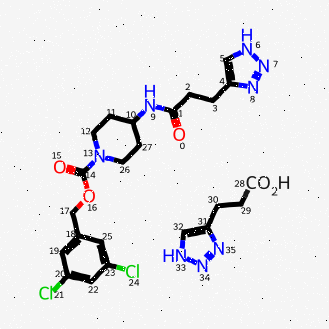 O=C(CCc1c[nH]nn1)NC1CCN(C(=O)OCc2cc(Cl)cc(Cl)c2)CC1.O=C(O)CCc1c[nH]nn1